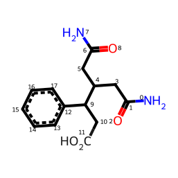 NC(=O)CC(CC(N)=O)C(CC(=O)O)c1ccccc1